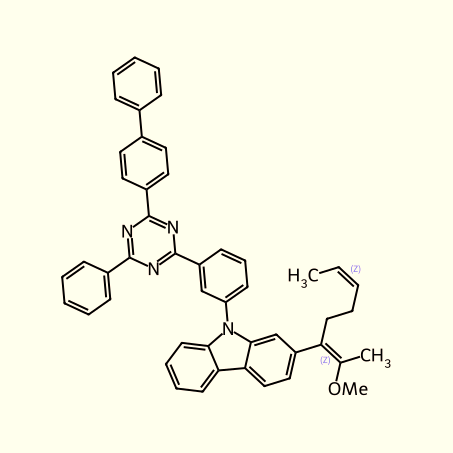 C/C=C\CC/C(=C(\C)OC)c1ccc2c3ccccc3n(-c3cccc(-c4nc(-c5ccccc5)nc(-c5ccc(-c6ccccc6)cc5)n4)c3)c2c1